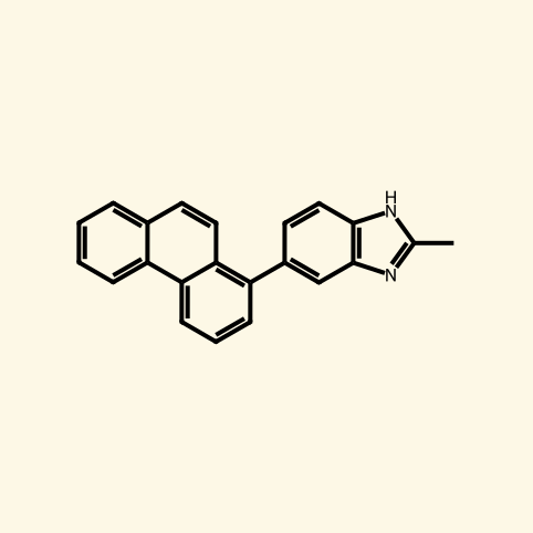 Cc1nc2cc(-c3cccc4c3ccc3ccccc34)ccc2[nH]1